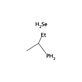 CCC(C)P.[SeH2]